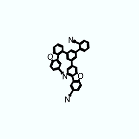 N#Cc1ccc2oc3cc(-c4cc(-c5ccccc5C#N)cc(-c5cccc6oc7ccc(C#N)cc7c56)c4)ccc3c2c1